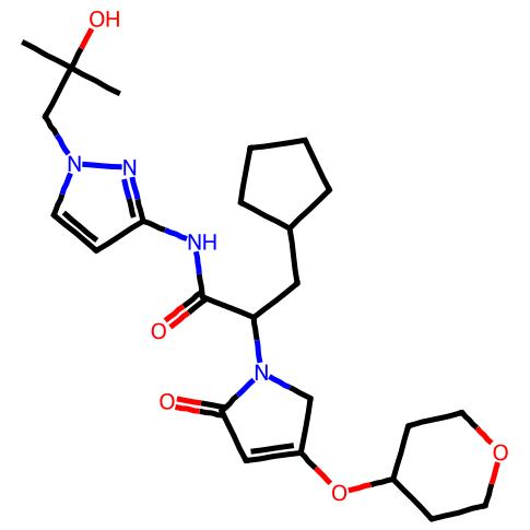 CC(C)(O)Cn1ccc(NC(=O)C(CC2CCCC2)N2CC(OC3CCOCC3)=CC2=O)n1